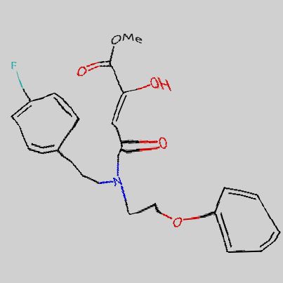 COC(=O)/C(O)=C/C(=O)N(CCOc1ccccc1)Cc1ccc(F)cc1